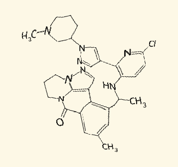 Cc1cc(C(C)Nc2ccc(Cl)nc2-c2cnn(C3CCCN(C)C3)c2)c2c(c1)c(=O)n1c3c2cnn3CCC1